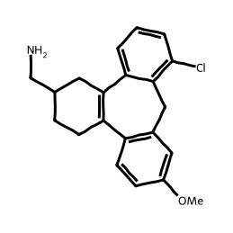 COc1ccc2c(c1)Cc1c(Cl)cccc1C1=C2CCC(CN)C1